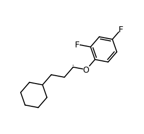 Fc1ccc(O[CH]CCC2CCCCC2)c(F)c1